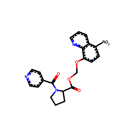 O=C(OCOc1ccc([N+](=O)[O-])c2cccnc12)C1CCCN1C(=O)c1ccncc1